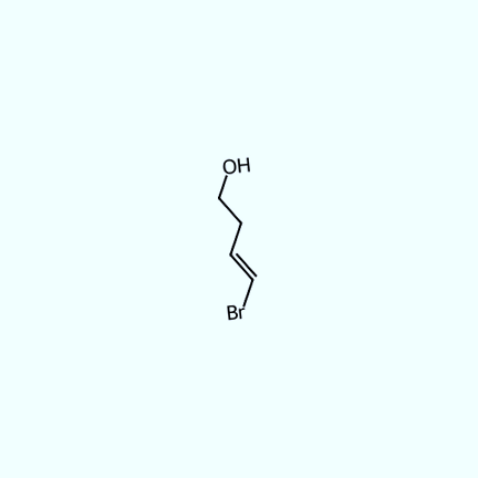 OCCC=CBr